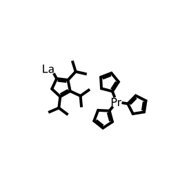 C1=CC[C]([Pr]([C]2=CC=CC2)[C]2=CC=CC2)=C1.CC(C)C1=C(C(C)C)C(C(C)C)=[C]([La])C1